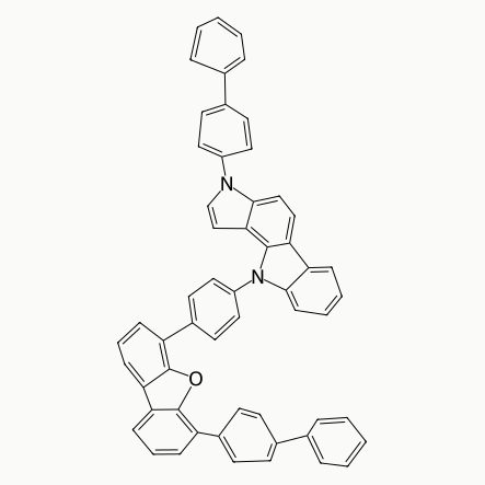 c1ccc(-c2ccc(-c3cccc4c3oc3c(-c5ccc(-n6c7ccccc7c7ccc8c(ccn8-c8ccc(-c9ccccc9)cc8)c76)cc5)cccc34)cc2)cc1